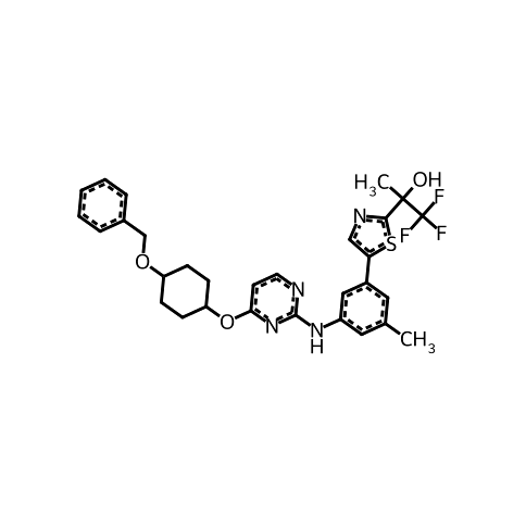 Cc1cc(Nc2nccc(OC3CCC(OCc4ccccc4)CC3)n2)cc(-c2cnc(C(C)(O)C(F)(F)F)s2)c1